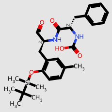 Cc1ccc(O[Si](C)(C)C(C)(C)C)c(C[C@@H](C=O)NC(=O)[C@H](Cc2ccccc2)NC(=O)O)c1